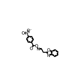 O=C(ON=CCc1nc2ccccc2o1)c1ccc([N+](=O)[O-])cc1